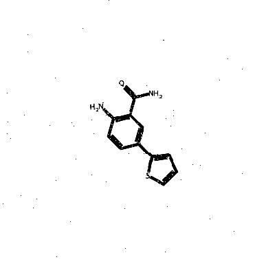 NC(=O)c1cc(-c2cccs2)ccc1N